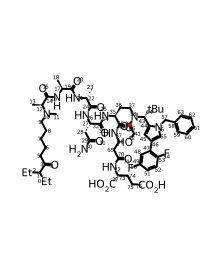 CCC(CC)C(=O)CCCCCN(C)[C@@H](C)C(=O)N[C@@H](C)C(=O)N[C@H](C)C(=O)N[C@@H](CC(N)=O)C(=O)N[C@@H](CCN(C(=O)CO)[C@@H](c1cc(-c2cc(F)ccc2F)cn1Cc1ccccc1)C(C)(C)C)C(=O)NCCC(=O)N[C@H](CCC(=O)O)C(=O)O